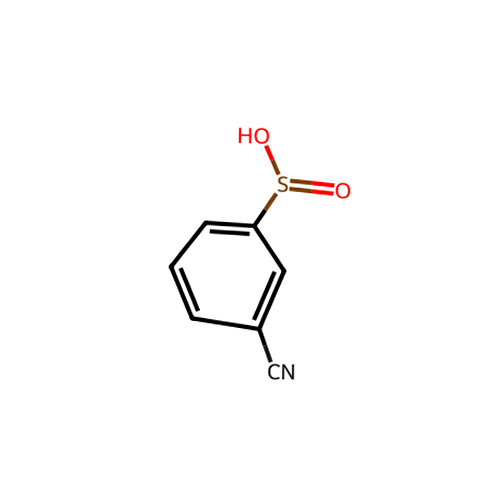 N#Cc1cccc(S(=O)O)c1